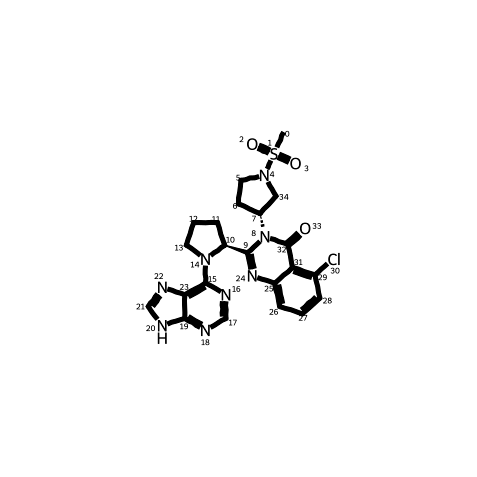 CS(=O)(=O)N1CC[C@@H](n2c([C@@H]3CCCN3c3ncnc4[nH]cnc34)nc3cccc(Cl)c3c2=O)C1